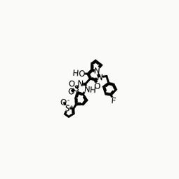 O=c1c(C2=NS(=O)(=O)c3cc(C4=CCC[S+]4[O-])ccc3N2)c(O)c2cccn2n1Cc1ccc(F)cc1